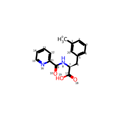 Cc1cccc(C[C@H](NC(=O)c2ccccn2)C(=O)O)c1